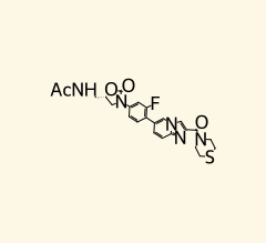 CC(=O)NC[C@H]1CN(c2ccc(-c3ccc4nc(C(=O)N5CCSCC5)cn4c3)c(F)c2)C(=O)O1